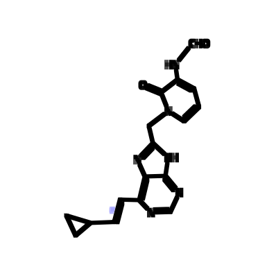 O=CNc1cccn(Cc2nc3c(/C=C/C4CC4)ncnc3[nH]2)c1=O